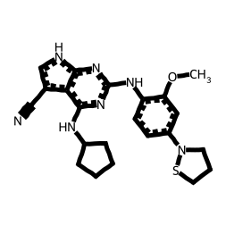 COc1cc(N2CCCS2)ccc1Nc1nc(NC2CCCC2)c2c(C#N)c[nH]c2n1